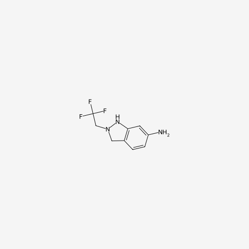 Nc1ccc2c(c1)NN(CC(F)(F)F)C2